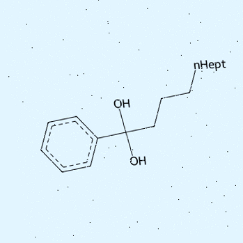 CCCCCCCCCCC(O)(O)c1ccccc1